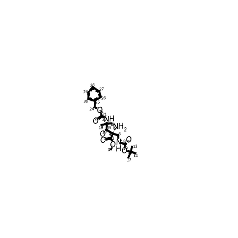 COC(=O)[C@](N)(CNC(=O)OC(C)(C)C)C(=O)C(C)(C)NC(=O)OCc1ccccc1